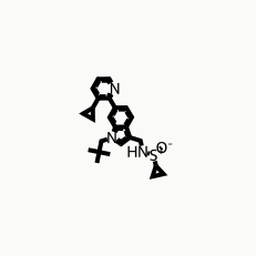 CC(C)(C)Cn1cc(CN[S+]([O-])C2CC2)c2ccc(-c3ncccc3C3CC3)cc21